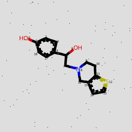 Oc1ccc(C(O)CN2CCc3sccc3C2)cc1